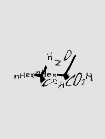 CCCCCCC(C)C(=O)O.CCCCCCC(C)C(=O)O.O